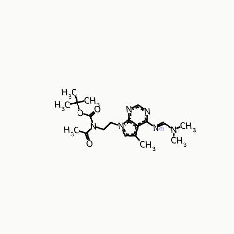 CC(=O)N(CCn1cc(C)c2c(/N=C/N(C)C)ncnc21)C(=O)OC(C)(C)C